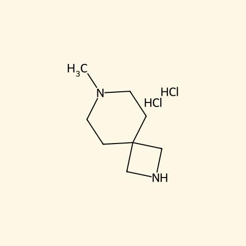 CN1CCC2(CC1)CNC2.Cl.Cl